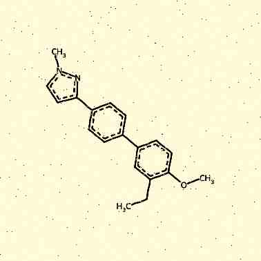 CCc1cc(-c2ccc(-c3ccn(C)n3)cc2)ccc1OC